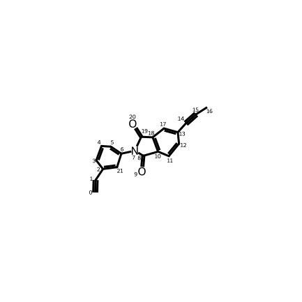 C#Cc1cccc(N2C(=O)c3ccc(C#CC)cc3C2=O)c1